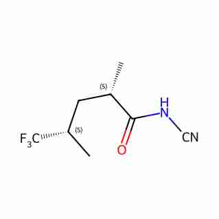 C[C@@H](C[C@H](C)C(F)(F)F)C(=O)NC#N